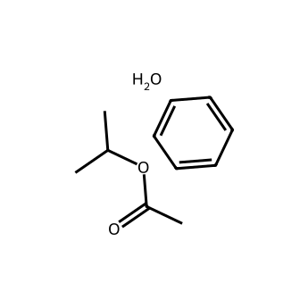 CC(=O)OC(C)C.O.c1ccccc1